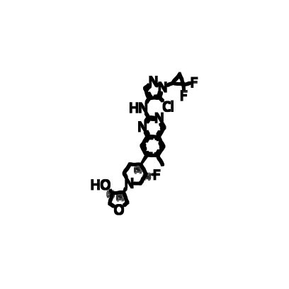 Cc1cc2cnc(Nc3cnn(C4CC4(F)F)c3Cl)nc2cc1[C@@H]1CCN([C@H]2COC[C@H]2O)C[C@H]1F